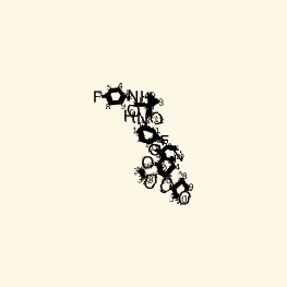 O=C(Nc1ccc(F)cc1)C1(C(=O)Nc2ccc(Oc3ccnc4cc(OC5CCOC5)c5c(c34)OCCO5)c(F)c2)CC1